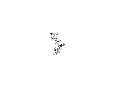 [In+3].[Se-2].[Se-2].[Se-2].[Se-2].[Ta+5]